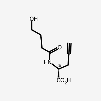 C#CC[C@H](NC(=O)CCCO)C(=O)O